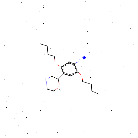 CCCCOc1cc(C2CNCCO2)c(OCCCC)cc1[N+]#N